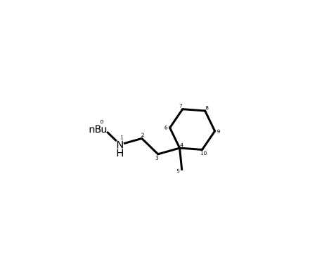 CCCCNCCC1(C)CCCCC1